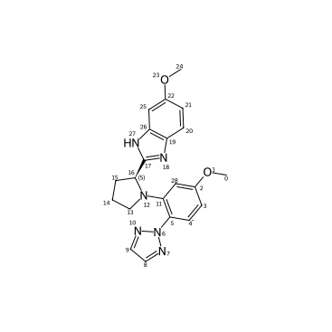 COc1c[c]c(-n2nccn2)c(N2CCC[C@H]2c2nc3ccc(OC)cc3[nH]2)c1